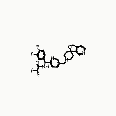 O=C(N[C@@H](c1ccc(F)c(F)c1)c1ccc(CN2CCC3(CC2)OCc2ccncc23)cn1)C(F)F